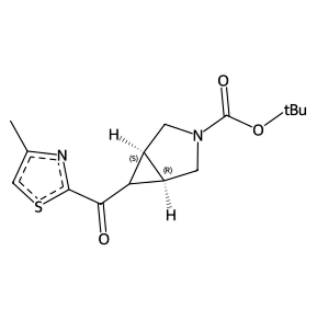 Cc1csc(C(=O)C2[C@H]3CN(C(=O)OC(C)(C)C)C[C@@H]23)n1